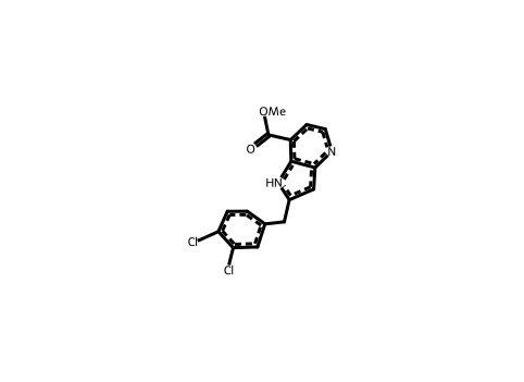 COC(=O)c1ccnc2cc(Cc3ccc(Cl)c(Cl)c3)[nH]c12